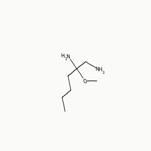 CCCCC(N)(CN)OC